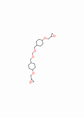 C(OCC1CCC(OCC2CO2)CC1)OCC1CCC(OCC2CO2)CC1